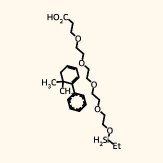 CC1(C)CC=CC=C1c1ccccc1.CC[SiH2]OCCOCCOCCOCCOCCC(=O)O